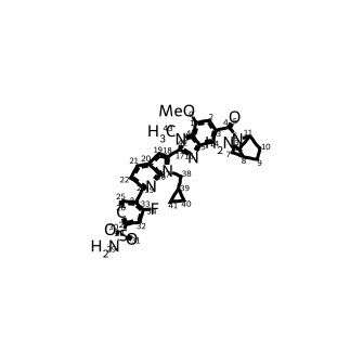 COc1cc(C(=O)N2CC3CCC2C3N)cc2nc(-c3cc4ccc(-c5ccc(S(N)(=O)=O)cc5F)nc4n3CC3CC3)n(C)c12